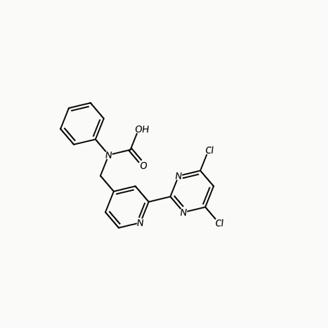 O=C(O)N(Cc1ccnc(-c2nc(Cl)cc(Cl)n2)c1)c1ccccc1